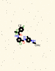 CC(=O)OCCNc1ccc(NC(=O)c2cc(NC(=O)[C@H](c3ccc(F)c(C(F)(F)F)c3)C(C)(Cl)Cl)ccc2Cl)c(C)c1